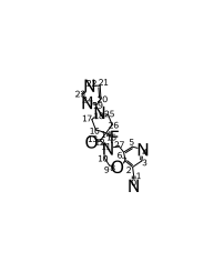 N#Cc1cncc2c1OCCN(C(=O)C1(F)CCN(c3ccncn3)CC1)C2